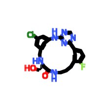 O=C1NCCCc2cc(ccc2F)-c2ncnc(n2)Nc2cc(Cl)cc(c2)CN[C@H]1CO